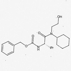 CC(C)[C@H](NC(=O)OCc1ccccc1)C(=O)N(CCO)C1CCCCC1